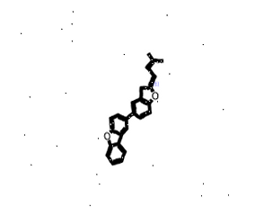 CC(C)=C/C=C1\Cc2cc(-c3ccc4oc5ccccc5c4c3)ccc2O1